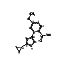 COc1cnc(C(=O)O)c(-n2cnc(C3CC3)c2)c1